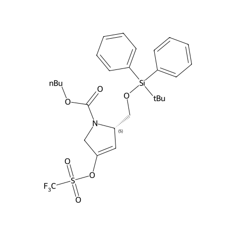 CCCCOC(=O)N1CC(OS(=O)(=O)C(F)(F)F)=C[C@H]1CO[Si](c1ccccc1)(c1ccccc1)C(C)(C)C